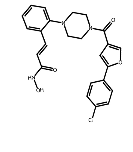 O=C(/C=C/c1ccccc1N1CCN(C(=O)c2coc(-c3ccc(Cl)cc3)c2)CC1)NO